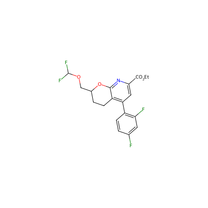 CCOC(=O)c1cc(-c2ccc(F)cc2F)c2c(n1)OC(COC(F)F)CC2